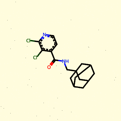 O=C(NCC12CC3CC(CC(C3)C1)C2)c1ccnc(Cl)c1Cl